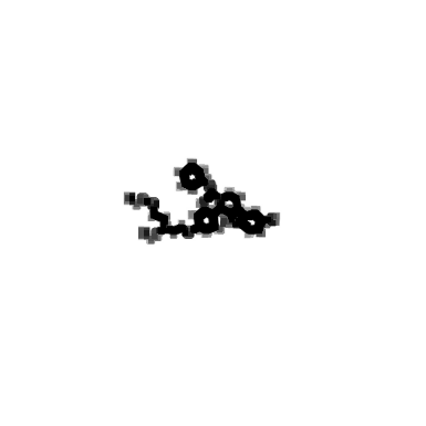 COCCN(C)CCOc1ccc(C2c3[nH]c4ccc(Cl)cc4c3CCN2C(=S)Oc2ccccc2)cc1